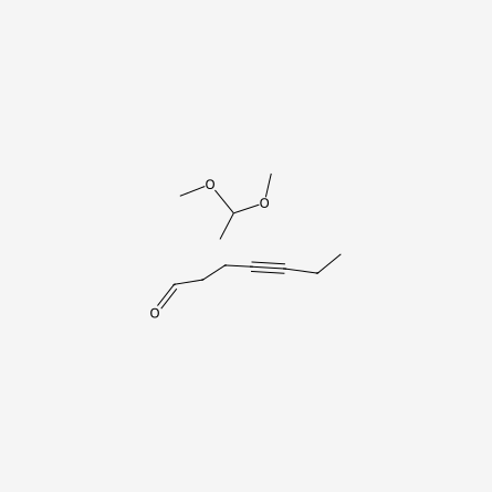 CCC#CCCC=O.COC(C)OC